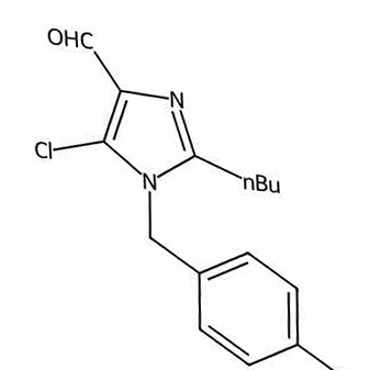 CCCCc1nc(C=O)c(Cl)n1Cc1ccc(Br)cc1